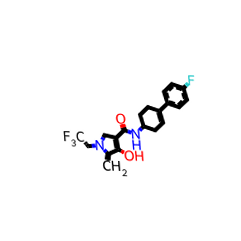 C=C1C(O)=C(C(=O)NC2CC=C(c3ccc(F)cc3)CC2)CN1CC(F)(F)F